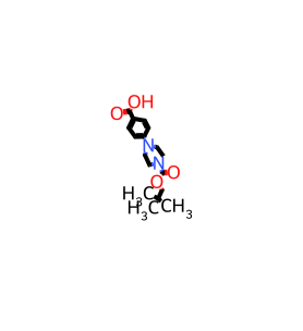 CC(C)(C)COC(=O)N1CCN(c2ccc(C(=O)O)cc2)CC1